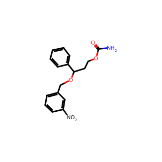 NC(=O)OCCC(OCc1cccc([N+](=O)[O-])c1)c1ccccc1